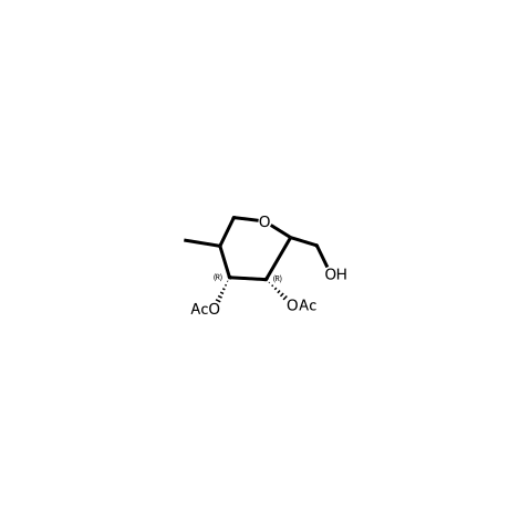 CC(=O)O[C@@H]1C(C)COC(CO)[C@@H]1OC(C)=O